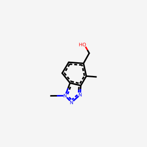 Cc1c(CO)ccc2c1nnn2C